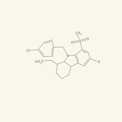 CS(=O)(=O)c1cc(F)cc2c1N(Cc1ccc(Cl)cc1)C1C(CC(=O)O)CCCC21